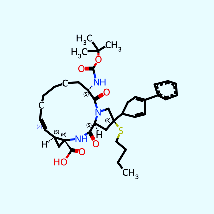 CCCCS[C@@]1(C2C=CC(c3ccccc3)=CC2)C[C@H]2C(=O)N[C@]3(C(=O)O)C[C@H]3/C=C\CCCCC[C@H](NC(=O)OC(C)(C)C)C(=O)N2C1